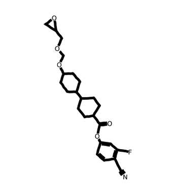 N#Cc1ccc(OC(=O)C2CCC(C3CCC(OCOCC4CO4)CC3)CC2)cc1F